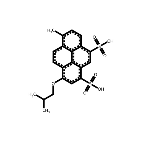 Cc1ccc2c(S(=O)(=O)O)cc3c(S(=O)(=O)O)cc(OCC(C)C)c4ccc1c2c43